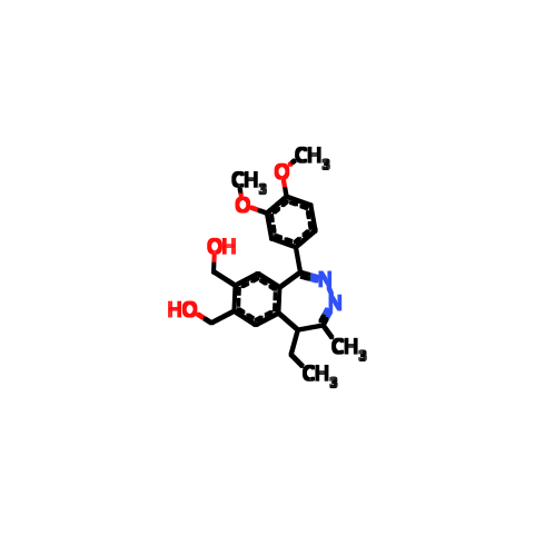 CCC1C(C)=NN=C(c2ccc(OC)c(OC)c2)c2cc(CO)c(CO)cc21